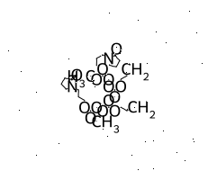 C=CCOC(OOC(OC)OCCCN1CCCC1=O)OOC(OCC=C)OOC(OC)OCCCN1CCCC1=O